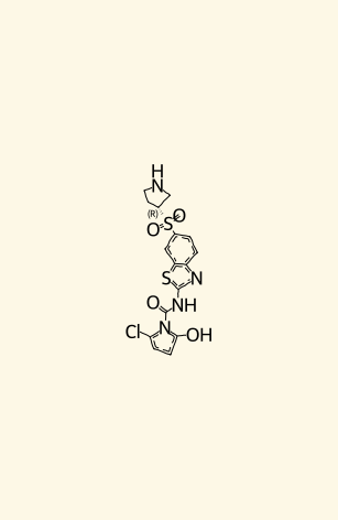 O=C(Nc1nc2ccc(S(=O)(=O)[C@@H]3CCNC3)cc2s1)n1c(O)ccc1Cl